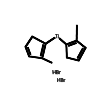 Br.Br.CC1=[C]([Ti][C]2=C(C)C=CC2)CC=C1